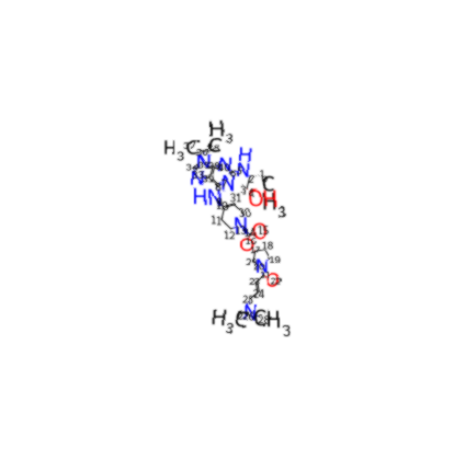 CC[C@H](CO)Nc1nc(NC2CCN(C(=O)O[C@H]3CCN(C(=O)/C=C/CN(C)C)C3)CC2)c2ncn(C(C)C)c2n1